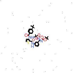 CC(C)(C)OC(=O)N=C(c1cccc(NC(=O)c2sccc2NC(=O)c2ccc(C(C)(C)C)cc2)c1)N(C=O)OC(C)(C)C